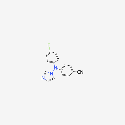 N#Cc1ccc(N(c2ccc(F)cc2)n2ccnc2)cc1